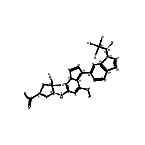 COc1nc(N[C@@H]2CN(C(C)=O)CC2(F)F)nn2ccc(-c3ccc4nnn([C@@H](C)C(F)(F)F)c4c3)c12